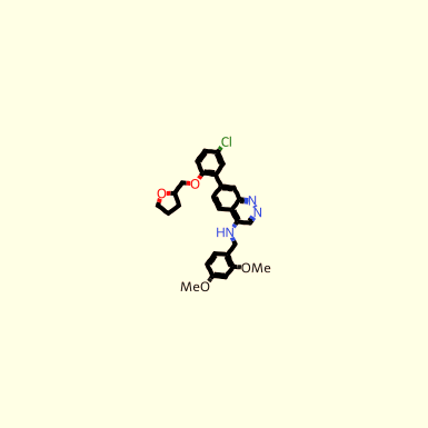 COc1ccc(CNc2cnnc3cc(-c4cc(Cl)ccc4OCC4CCCO4)ccc23)c(OC)c1